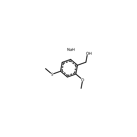 COc1cc(SC)ccc1CO.[NaH]